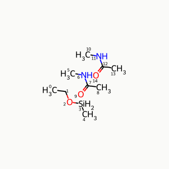 CCO[SiH2]C.CNC(C)=O.CNC(C)=O